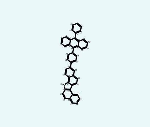 c1ccc(-c2c3ccccc3c(-c3ccc(-c4ccc5c(ccc6c5sc5ccc7ccccc7c56)c4)cc3)c3ccccc23)cc1